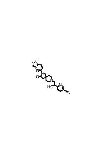 N#Cc1ccc(C(O)CN2CCC3(CC2)CC(=O)N(c2ccc4nncn4n2)C3)nc1